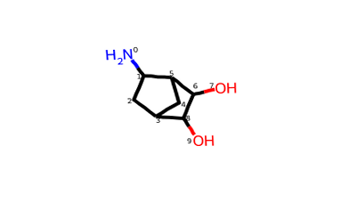 NC1CC2CC1C(O)C2O